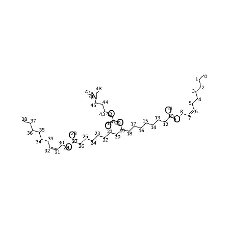 CCCCCC/C=C\COC(=O)CCCCCCCC(CCCCCCCC(=O)OC/C=C\CCCCCC)OC(=O)OCCCN(C)C